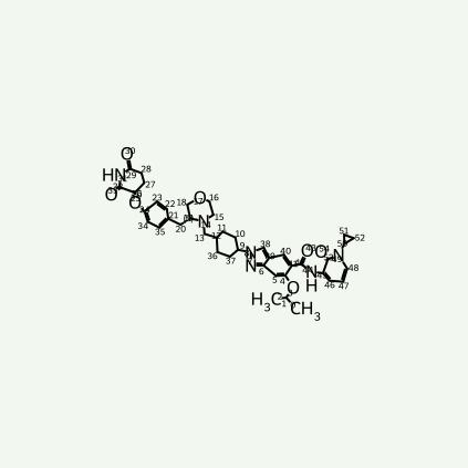 CC(C)Oc1cc2nn(C3CCC(CN4CCOC[C@@H]4Cc4ccc(O[C@H]5CCC(=O)NC5=O)cc4)CC3)cc2cc1C(=O)Nc1cccn(C2CC2)c1=O